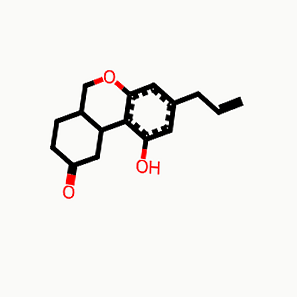 C=CCc1cc(O)c2c(c1)OCC1CCC(=O)CC21